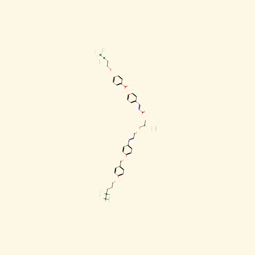 CC(COC(=O)/C=C/c1ccc(OC(=O)c2ccc(OCCCC(F)(F)C(F)(F)F)cc2)cc1)COC(=O)/C=C/c1ccc(OC(=O)c2ccc(OCCCC(F)(F)C(F)(F)F)cc2)cc1